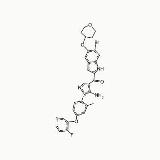 Cc1cc(Oc2ccccc2F)ccc1-n1ncc(C(=O)c2cc3cc(OC4CCOCC4)c(Br)cc3[nH]2)c1N